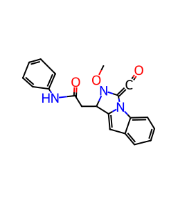 CON1C(=C=O)n2c(cc3ccccc32)C1CC(=O)Nc1ccccc1